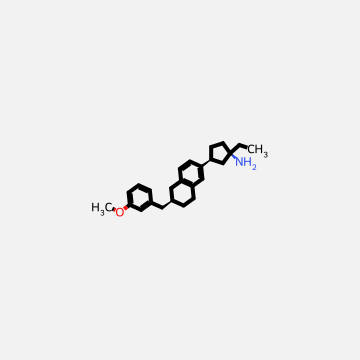 CC[C@@]1(N)CC[C@H](c2ccc3c(c2)CC[C@@H](Cc2cccc(OC)c2)C3)C1